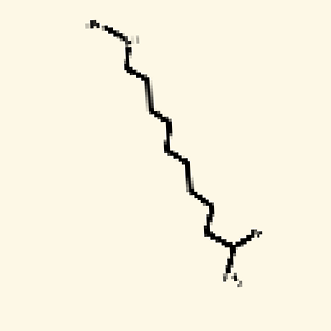 CCCCNCCCCCCCCCC(P)Br